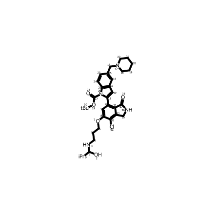 CC(C)C(O)NCCCOc1cc(-c2cc3cc(CN4CCCCC4)ccc3n2C(=O)OC(C)(C)C)c2c(c1Cl)CNC2=O